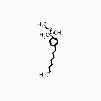 CCCCCCCCc1ccc([Si](C)(C)OCC)cc1